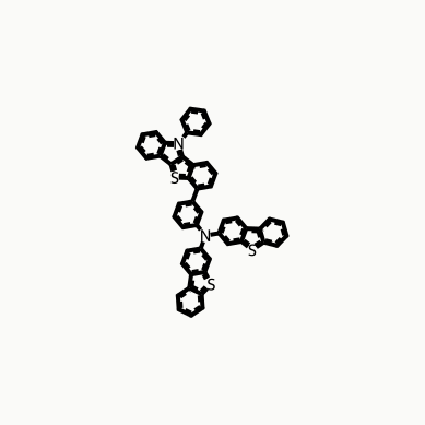 c1ccc(-n2c3ccccc3c3sc4c(-c5cccc(N(c6ccc7c(c6)sc6ccccc67)c6ccc7c(c6)sc6ccccc67)c5)cccc4c32)cc1